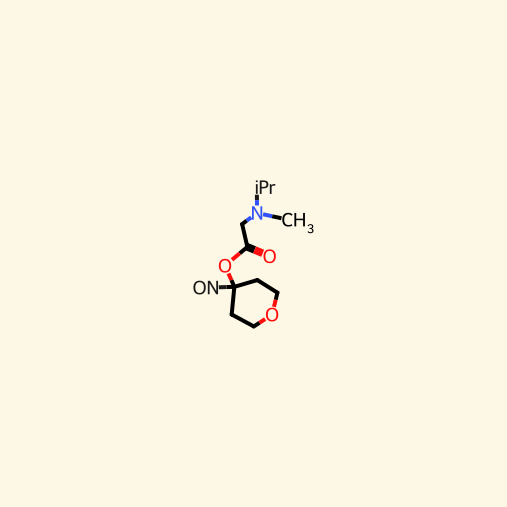 [CH2]C([CH2])N(C)CC(=O)OC1(N=O)CCOCC1